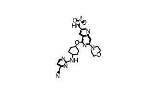 CS(=O)(=O)Nc1cnc2cc(N3CCOCC3)nc(OC3CCC(Nc4nccc(C#N)n4)CC3)c2c1